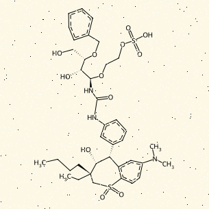 CCCC[C@]1(CC)CS(=O)(=O)c2ccc(N(C)C)cc2[C@@H](c2cccc(NC(=O)N[C@H](OCCOS(=O)(=O)O)[C@H](O)[C@H](CO)OCc3ccccc3)c2)[C@H]1O